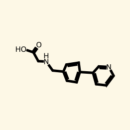 O=C(O)CNCc1ccc(-c2c[c]cnc2)cc1